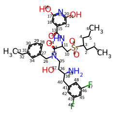 CCCC(CCC)S(=O)(=O)CC(NC(=O)c1cc(O)nc(O)c1)C(=O)N(Cc1cccc(CC)c1)C[C@@H](O)[C@@H](N)Cc1cc(F)cc(F)c1